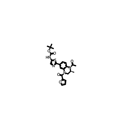 CC(=O)N1c2ccc(-c3ncc(NC(=O)OC(C)(C)C)s3)cc2N(C(=O)c2ccco2)C[C@@H]1C